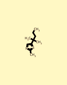 CCCC(C)(C)c1cnc(C)s1